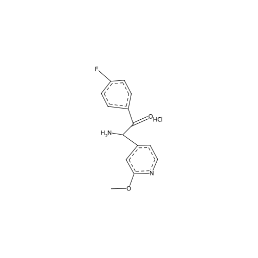 COc1cc(C(N)C(=O)c2ccc(F)cc2)ccn1.Cl